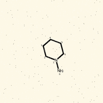 [NH]N1CCCCC1